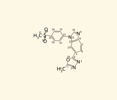 Cc1nnc(-c2ccc3ncn(-c4ccc(S(C)(=O)=O)cc4)c3c2)o1